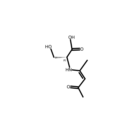 CC(=O)C=C(C)N[C@H](CO)C(=O)O